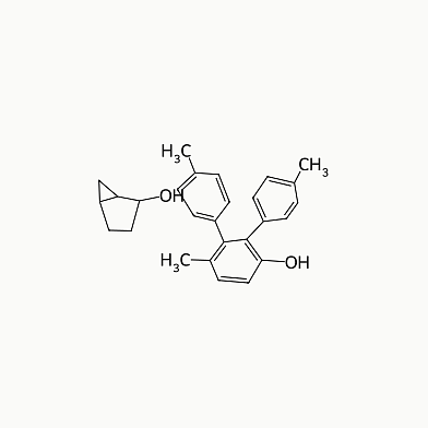 Cc1ccc(-c2c(C)ccc(O)c2-c2ccc(C)cc2)cc1.OC1CCC2CC12